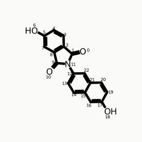 O=C1c2ccc(O)cc2C(=O)N1c1ccc2cc(O)ccc2c1